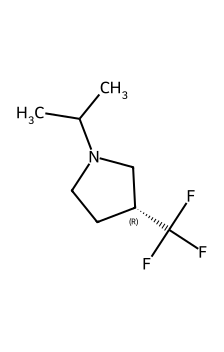 CC(C)N1CC[C@@H](C(F)(F)F)C1